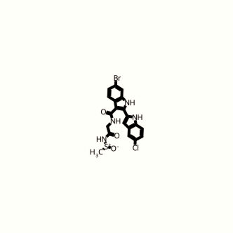 C[S+]([O-])NC(=O)CNC(=O)c1c(-c2cc3cc(Cl)ccc3[nH]2)[nH]c2cc(Br)ccc12